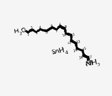 CCCCCCCC/C=C\CCCCCCCCN.[SnH4]